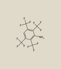 Nc1c(C(F)(F)F)c(C(F)(F)F)cc(C(F)(F)F)c1C(F)(F)F